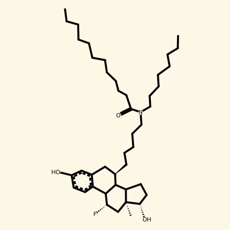 CCCCCCCCCCCC(=O)N(CCCCCCCC)CCCCC[C@@H]1Cc2cc(O)ccc2C2C1C1CC[C@H](O)[C@@]1(C)C[C@@H]2F